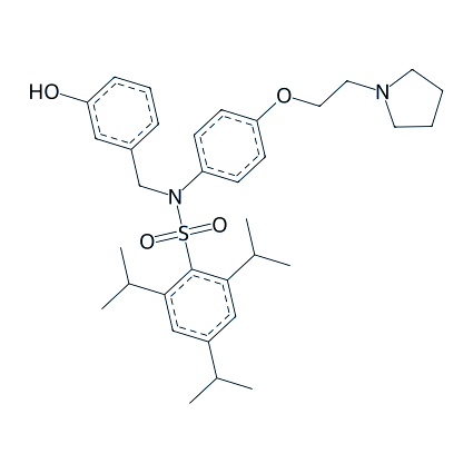 CC(C)c1cc(C(C)C)c(S(=O)(=O)N(Cc2cccc(O)c2)c2ccc(OCCN3CCCC3)cc2)c(C(C)C)c1